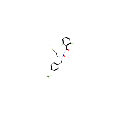 CSCCCN(Cc1ccc(SC(F)(F)F)cc1F)C(=O)NC(=O)c1c(F)cccc1F